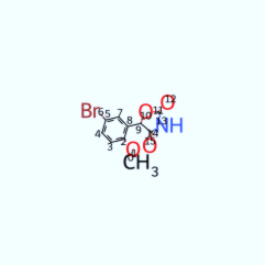 COc1ccc(Br)cc1C1OC(=O)NC1=O